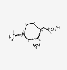 CN1CCC(C(=O)O)CC1.[KH]